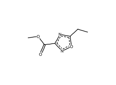 CCc1nc(C(=O)OC)no1